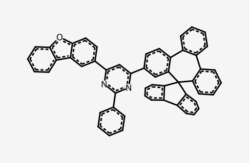 c1ccc(-c2nc(-c3ccc4c(c3)C3(c5ccccc5-c5ccccc5-4)c4ccccc4-c4ccccc43)cc(-c3ccc4oc5ccccc5c4c3)n2)cc1